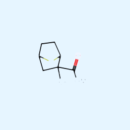 COC(=O)C1(C(F)(F)F)CC2CCC1S2